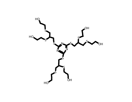 OCCSCC(CSc1nc(SCC(CSCCO)SCCO)nc(SCC(CSCCO)SCCO)n1)SCCO